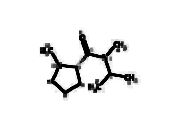 CC(C)N(C)C(=O)[C@@H]1CCCN1C